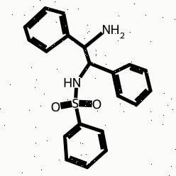 NC(c1ccccc1)C(NS(=O)(=O)c1ccccc1)c1ccccc1